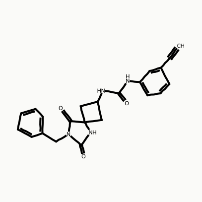 C#Cc1cccc(NC(=O)NC2CC3(C2)NC(=O)N(Cc2ccccc2)C3=O)c1